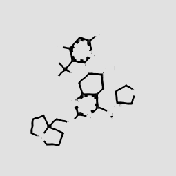 Cc1cc(N)nc([C@H]2Cc3nc(OCC45CCCN4CCC5)nc(N(C)[C@@H]4CCNC4)c3C[C@@H]2C)c1C(F)(F)F